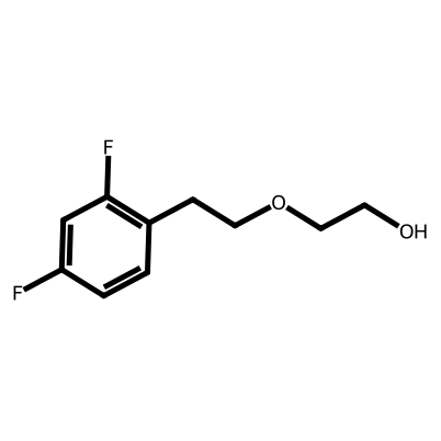 OCCOCCc1ccc(F)cc1F